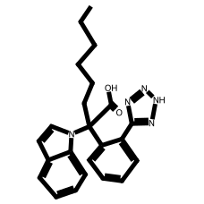 CCCCCCC(C(=O)O)(c1ccccc1-c1nn[nH]n1)n1ccc2ccccc21